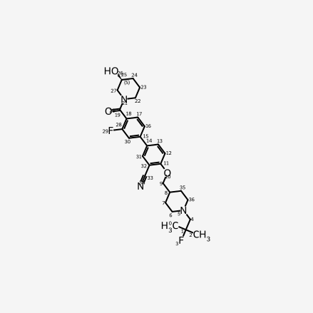 CC(C)(F)CN1CCC(COc2ccc(-c3ccc(C(=O)N4CCC[C@H](O)C4)c(F)c3)cc2C#N)CC1